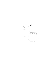 ClC12Cc3ccccc3C1(Cl)O2